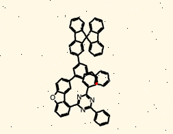 c1ccc(-c2cc(-c3ccc4c(c3)C3(c5ccccc5-c5ccccc53)c3ccccc3-4)cc(-c3ccc4oc5cccc(-c6nc(-c7ccccc7)nc(-c7ccccc7)n6)c5c4c3)c2)cc1